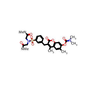 CNC(=O)CN(CC(=O)NC)S(=O)(=O)c1cccc(Cc2c(C)c3cc(C)c(OC(=O)N(C)C)cc3oc2=O)c1